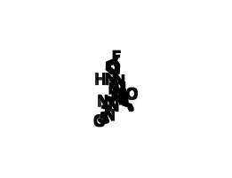 C=CCn1c(=O)c2cnc(Nc3ccc(F)cc3)nc2n1-c1cncc(N=S(C)(C)=O)n1